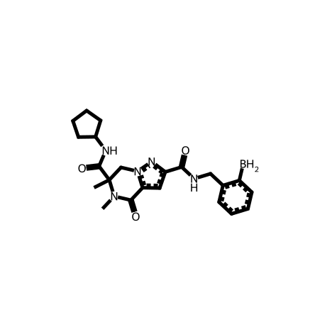 Bc1ccccc1CNC(=O)c1cc2n(n1)CC(C)(C(=O)NC1CCCC1)N(C)C2=O